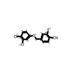 N#Cc1ccc(COc2ccc(Cl)c(Cl)c2)cc1F